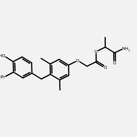 Cc1cc(OCC(=O)OC(C)C(N)=O)cc(C)c1Cc1ccc(O)c(C(C)C)c1